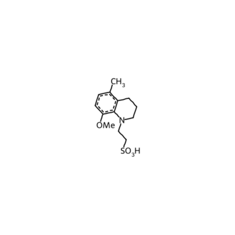 COc1ccc(C)c2c1N(CCS(=O)(=O)O)CCC2